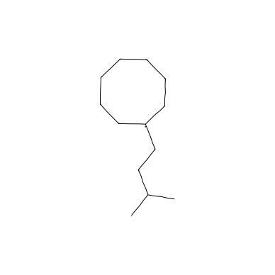 CC(C)CC[C]1CCCCCCC1